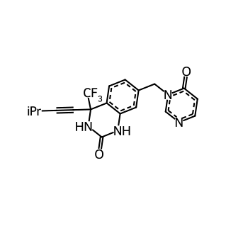 CC(C)C#CC1(C(F)(F)F)NC(=O)Nc2cc(Cn3cnccc3=O)ccc21